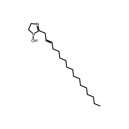 CCCCCCCCCCCCCCC=CCC1=NCCN1O